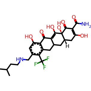 CC(C)CCNCc1cc(O)c2c(c1C(F)(F)F)CC1C[C@H]3CC(O)=C(C(N)=O)C(=O)[C@@]3(O)C(O)=C1C2=O